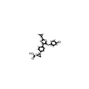 O=C(O)[C@H]1C[C@@H]1c1ccc(-c2nc(C3CC3)oc2Sc2ccc(Cl)cn2)cc1